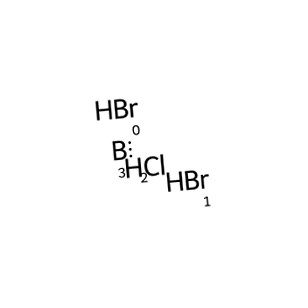 Br.Br.Cl.[B]